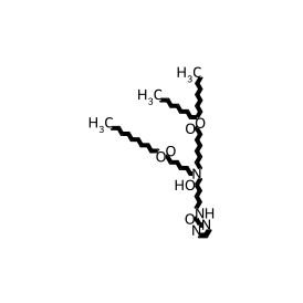 CCCCCCCCCCCOC(=O)CCCCCN(CCCCCCCC(=O)OC(CCCCCCCC)CCCCCCCC)CC(O)CCCCNC(=O)c1ncccn1